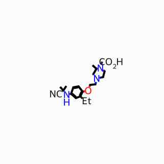 CCc1cc(NC(C)(C)C#N)ccc1OCCN1CCN(C(=O)O)C(C)C1